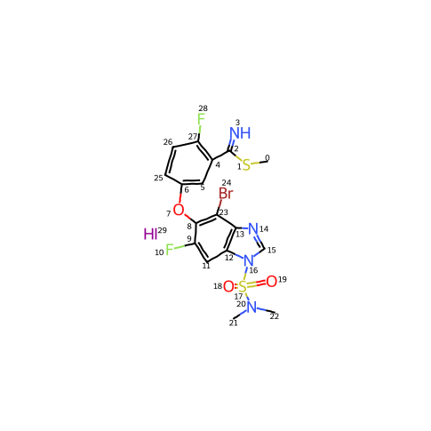 CSC(=N)c1cc(Oc2c(F)cc3c(ncn3S(=O)(=O)N(C)C)c2Br)ccc1F.I